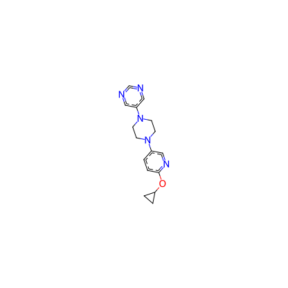 c1ncc(N2CCN(c3ccc(OC4CC4)nc3)CC2)cn1